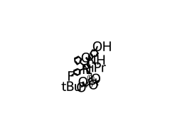 CC(C)c1c(C(=O)Nc2ccc(O)cc2)c(-c2ccccc2)c(-c2ccc(F)cc2)n1CC[C@@H]1C[C@H](CC(=O)OC(C)(C)C)OC(C)(C)O1